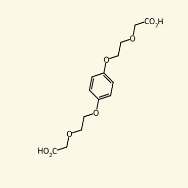 O=C(O)COCCOc1ccc(OCCOCC(=O)O)cc1